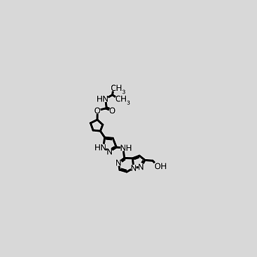 CC(C)NC(=O)OC1CCC(c2cc(Nc3nccn4nc(CO)cc34)n[nH]2)C1